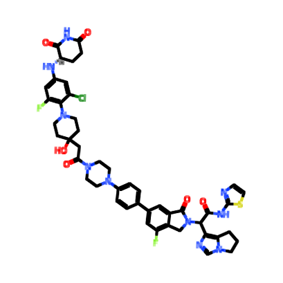 O=C1CC[C@H](Nc2cc(F)c(N3CCC(O)(CC(=O)N4CCN(c5ccc(-c6cc(F)c7c(c6)C(=O)N(C(C(=O)Nc6nccs6)c6ncn8c6CCC8)C7)cc5)CC4)CC3)c(Cl)c2)C(=O)N1